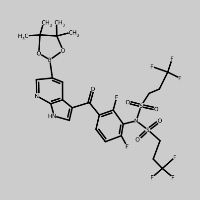 CC1(C)OB(c2cnc3[nH]cc(C(=O)c4ccc(F)c(N(S(=O)(=O)CCC(F)(F)F)S(=O)(=O)CCC(F)(F)F)c4F)c3c2)OC1(C)C